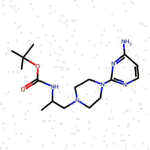 CC(CN1CCN(c2nccc(N)n2)CC1)NC(=O)OC(C)(C)C